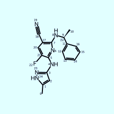 Cc1cc(Nc2nc(N[C@@H](C)c3ccccc3)c(C#N)cc2F)n[nH]1